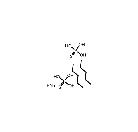 CCCCC.CCCCC.OP(O)(O)=S.OP(O)(O)=S.[NaH]